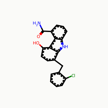 NC(=O)c1cccc2[nH]c3c(Cc4ccccc4Cl)ccc(O)c3c12